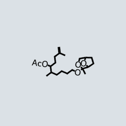 C=C(C)CCC(OC(C)=O)C(C)CCCCOC1(C)OCC2CCC1O2